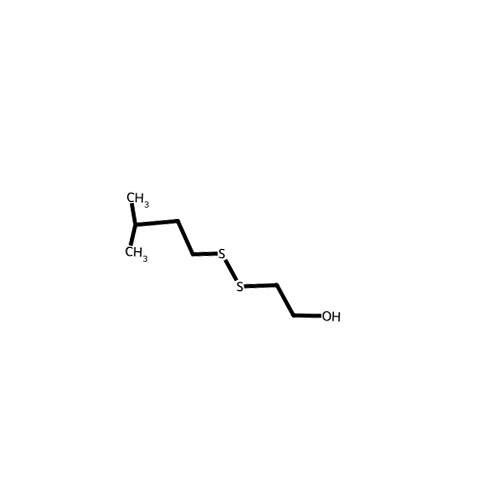 CC(C)CCSSCCO